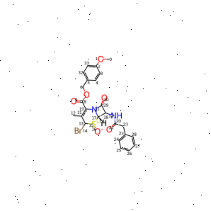 COc1ccc(COC(=O)C2=C(C)C(Br)[S+]([O-])[C@H]3C(NC(=O)Cc4ccccc4)C(=O)N23)cc1